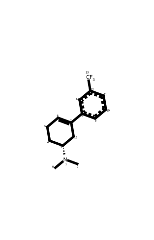 CN(C)[C@@H]1CCC=C(c2cccc(C(F)(F)F)c2)C1